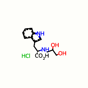 Cl.O=C(O)[C@H](Cc1c[nH]c2ccccc12)NCC(O)CO